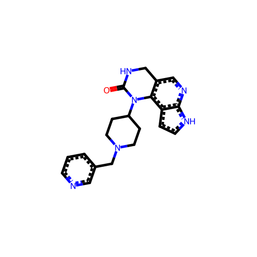 O=C1NCc2cnc3[nH]ccc3c2N1C1CCN(Cc2cccnc2)CC1